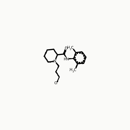 Cc1cccc(C)c1NC(=O)C1CCCCN1CCCCl